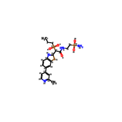 CCCS(=O)(=O)C(C(=O)NCCS(N)(=O)=O)c1nc2ccc(-c3ccnc(C)c3)cc2s1